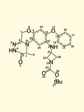 CC1C(=O)NN=C2COc3cc(Oc4ccccc4)c(NC4CN(C(=O)OC(C)(C)C)C4)cc3N21